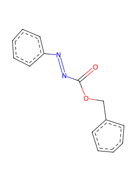 O=C(N=Nc1ccccc1)OCc1ccccc1